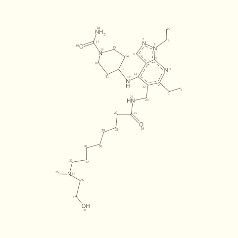 CCc1nc2c(cnn2CC)c(NC2CCN(C(N)=O)CC2)c1CNC(=O)CCCCCCCN(C)CCO